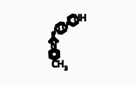 Cc1ccc(N2CC(CN3CCN(C4CCNCC4)CC3)C2)cc1